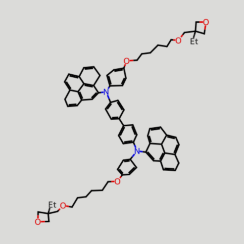 CCC1(COCCCCCCOc2ccc(N(C3=CC4=C5C(=CC=C6C=CC=C3C65)CC=C4)c3ccc(-c4ccc(N(c5ccc(OCCCCCCOCC6(CC)COC6)cc5)c5cc6c7c(ccc8c7c5CC=C8)CC=C6)cc4)cc3)cc2)COC1